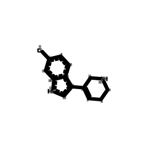 Clc1ccc2c(C3=CCCNC3)c[nH]c2c1